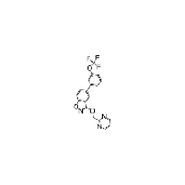 FC(F)(F)Oc1cccc(-c2ccc3onc(OCc4ncccn4)c3c2)c1